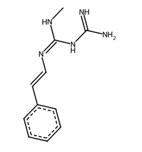 CNC(=NC=Cc1ccccc1)NC(=N)N